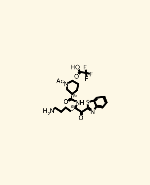 CC(=O)N1CCC[C@@H](C(=O)N[C@@H](CCCCN)C(=O)c2nc3ccccc3s2)C1.O=C(O)C(F)(F)F